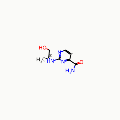 C[C@@H](CO)Nc1nc[c]c(C(N)=O)n1